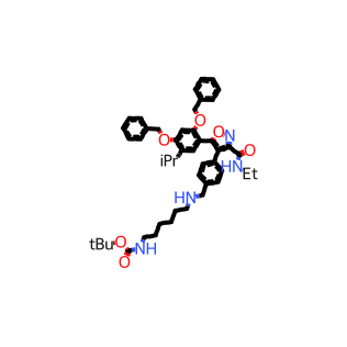 CCNC(=O)c1noc(-c2cc(C(C)C)c(OCc3ccccc3)cc2OCc2ccccc2)c1-c1ccc(CNCCCCCCNC(=O)OC(C)(C)C)cc1